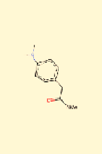 [CH2]NC(=O)Cc1ccc(N(C)C)cc1